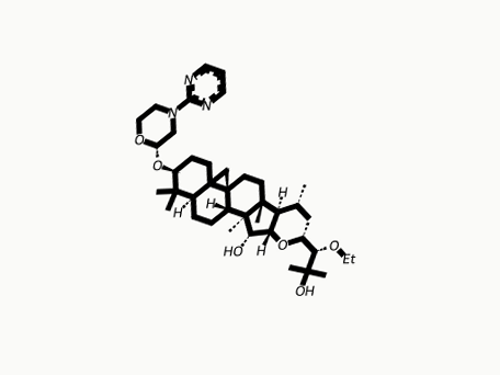 CCO[C@@H]([C@H]1C[C@@H](C)[C@H]2[C@H](O1)[C@H](O)[C@@]1(C)[C@@H]3CC[C@H]4C(C)(C)[C@@H](O[C@H]5CN(c6ncccn6)CCO5)CCC45C[C@@]35CC[C@]21C)C(C)(C)O